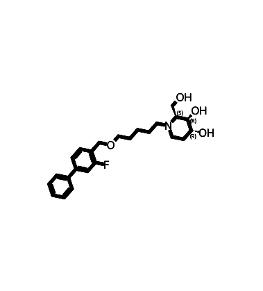 OC[C@H]1[C@@H](O)[C@H](O)CCN1CCCCCOCc1ccc(-c2ccccc2)cc1F